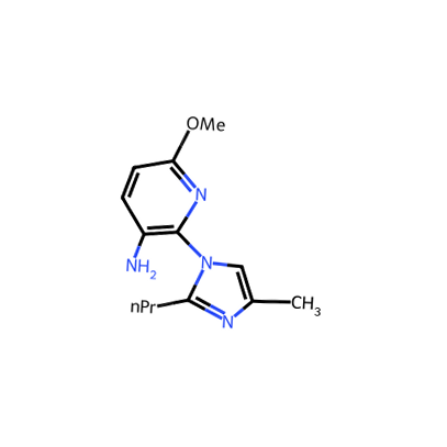 CCCc1nc(C)cn1-c1nc(OC)ccc1N